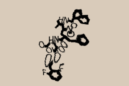 CC(C)[C@H](NC(=O)c1cccc2ccccc12)C1=NOC(Cc2ccccc2)(C(=O)N[C@@H](CC(=O)O)C(=O)COC(=O)c2c(F)cccc2F)C1